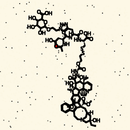 CC[C@]1(O)C[C@H]2CN(CCc3c([nH]c4ccccc34)[C@@](C(=O)OC)(c3cc4c(cc3OC)N(C)[C@H]3[C@@](O)(C(=O)NNC(=O)OCCSSC[C@H](NC(=O)[C@H](Cc5cn(CCOC6OC(C(=O)O)C(O)[C@H](O)[C@@H]6O)nn5)NC(=O)[C@H](CC(=O)O)NC(C)=O)C(=O)O)[C@H](O)[C@]5(CC)C=CCN6CC[C@]43[C@@H]65)C2)C1